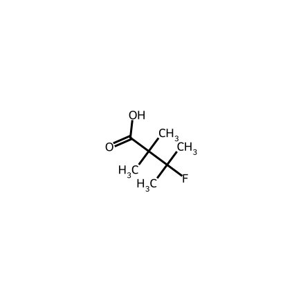 CC(C)(F)C(C)(C)C(=O)O